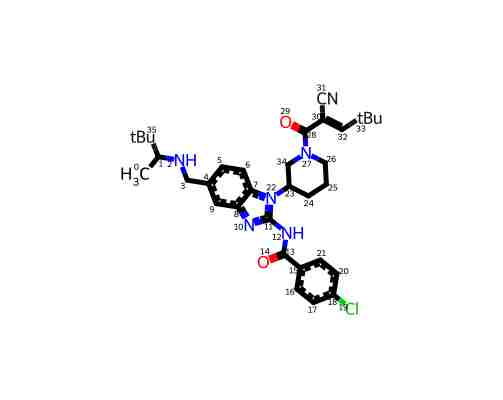 CC(NCc1ccc2c(c1)nc(NC(=O)c1ccc(Cl)cc1)n2C1CCCN(C(=O)C(C#N)=CC(C)(C)C)C1)C(C)(C)C